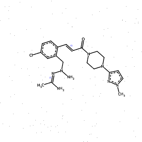 C/C(N)=N/N(N)Cc1cc(Cl)ccc1/C=C/C(=O)N1CCN(c2ccn(C)n2)CC1